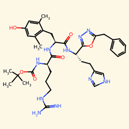 Cc1cc(O)cc(C)c1C[C@H](NC(=O)[C@@H](CCCNC(=N)N)NC(=O)OC(C)(C)C)C(=O)N[C@@H](CCc1c[nH]cn1)c1nnc(Cc2ccccc2)o1